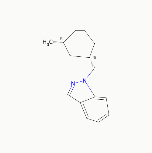 C[C@@H]1CCC[C@H](Cn2ncc3ccccc32)C1